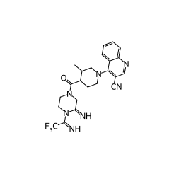 CC1CN(c2c(C#N)cnc3ccccc23)CCC1C(=O)N1CCN(C(=N)C(F)(F)F)C(=N)C1